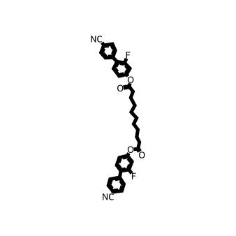 N#Cc1ccc(-c2ccc(OC(=O)CCCCCCCCCC(=O)Oc3ccc(-c4ccc(C#N)cc4)c(F)c3)cc2F)cc1